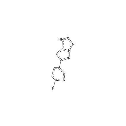 Fc1ccc(-c2cc3[nH][c]nn3n2)cn1